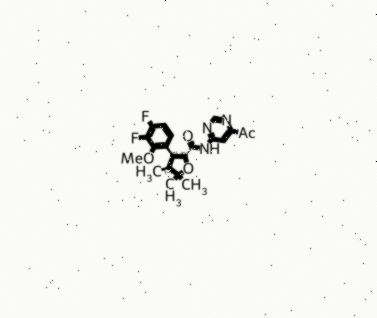 COc1c([C@H]2[C@H](C(=O)Nc3cc(C(C)=O)ncn3)OC(C)(C)[C@H]2C)ccc(F)c1F